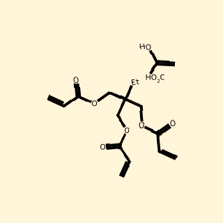 C=C(O)C(=O)O.C=CC(=O)OCC(CC)(COC(=O)C=C)COC(=O)C=C